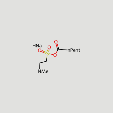 CCCCCC(=O)OS(=O)(=O)CCNC.[NaH]